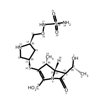 C[C@@H](O)[C@H]1C(=O)N2C(C(=O)O)=C(S[C@H]3CN[C@@H](CONS(N)(=O)=O)C3)[C@H](C)[C@H]12